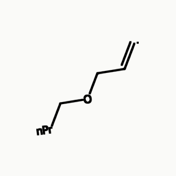 [CH]=CCOCCCC